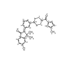 Cc1ncc(C(=O)N2CCN(c3cncc(N4C(=O)c5ccc(Cl)cc5C4(C)C)c3)CC2)o1